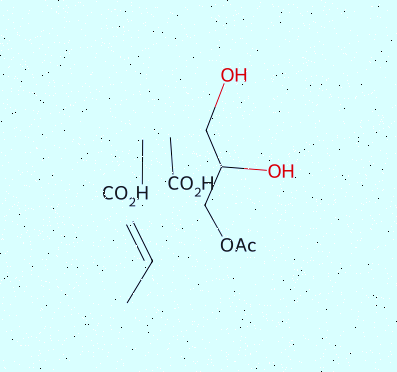 C=CC.CC(=O)O.CC(=O)O.CC(=O)OCC(O)CO